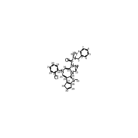 CC(C)N(Cc1ccccc1)C(=O)N1N=CN2C1=CN(c1ccccc1Cl)C=C1C3=C(C=CC3)S(C)=C12